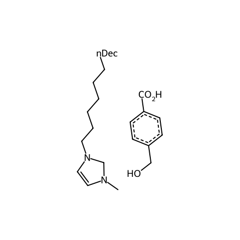 CCCCCCCCCCCCCCCCN1C=CN(C)C1.O=C(O)c1ccc(CO)cc1